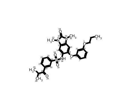 CCCOc1cccc(Oc2cc3c(cc2NS(=O)(=O)c2cccc(C(=O)C(C)C)c2)n(C)c(=O)n3C)c1